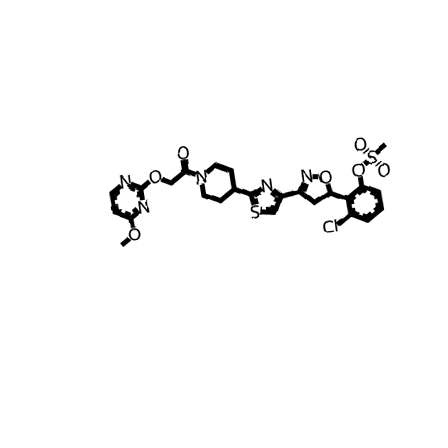 COc1ccnc(OCC(=O)N2CCC(c3nc(C4=NOC(c5c(Cl)cccc5OS(C)(=O)=O)C4)cs3)CC2)n1